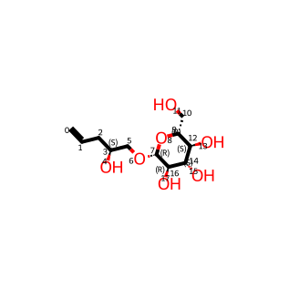 C=CC[C@H](O)CO[C@@H]1O[C@H](CO)[C@@H](O)[C@H](O)[C@H]1O